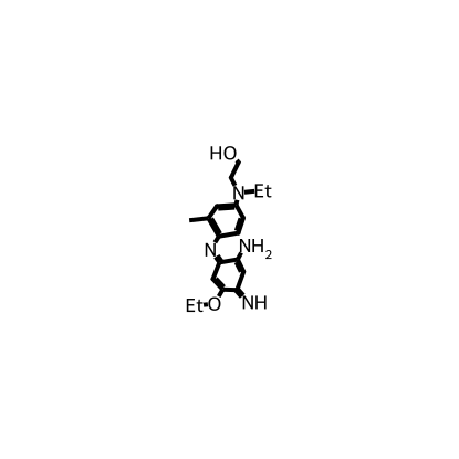 CCOC1=CC(=Nc2ccc(N(CC)CCO)cc2C)C(N)=CC1=N